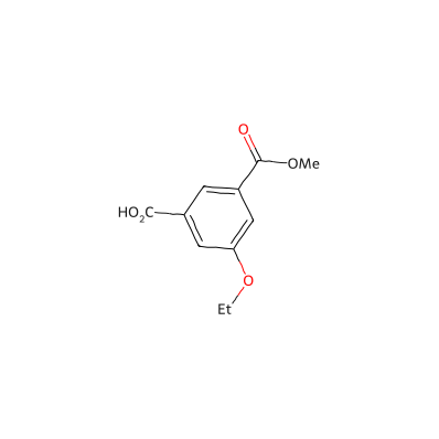 CCOc1cc(C(=O)O)cc(C(=O)OC)c1